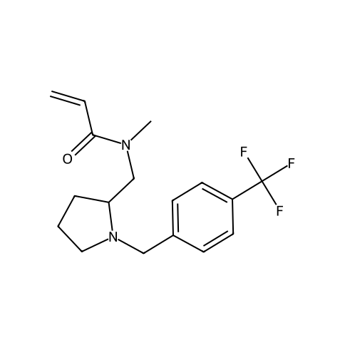 C=CC(=O)N(C)CC1CCCN1Cc1ccc(C(F)(F)F)cc1